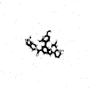 CCc1ccc(-c2cc(C(=O)N3Cc4cnn(C)c4C3)cc3cc(C4=CCCNC4)n(CC(C)C)c23)c(C)n1